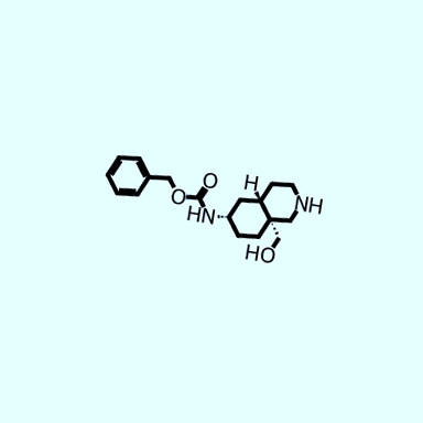 O=C(N[C@H]1CC[C@]2(CO)CNCC[C@H]2C1)OCc1ccccc1